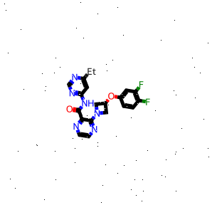 CCc1cc(NC(=O)c2nccnc2N2CC(Oc3ccc(F)c(F)c3)C2)ncn1